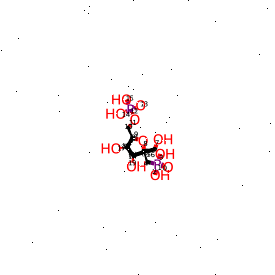 O=P(O)(O)C[C@]1(CO)O[C@H](COP(=O)(O)O)[C@@H](O)[C@@H]1O